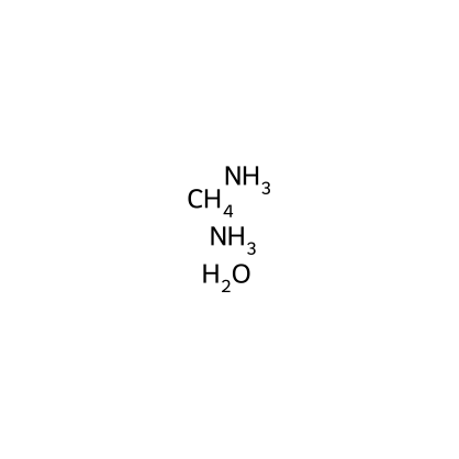 C.N.N.O